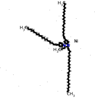 CCCCCCCCCCCCCCCCCCCCCC#Cc1ccc(N=C(C#CCCCCCCCCCCCCCCCCCCCCCCCCCCC)C(CCCC)=Nc2ccc(C#CCCCCCCCCCCCCCCCCCCCCC)cc2)cc1.[Ni]